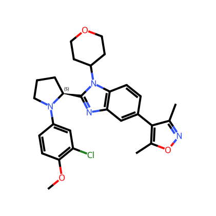 COc1ccc(N2CCC[C@H]2c2nc3cc(-c4c(C)noc4C)ccc3n2C2CCOCC2)cc1Cl